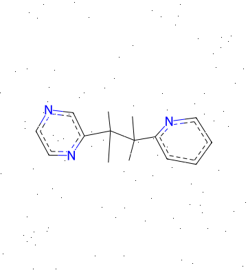 CC(C)(c1ccccn1)C(C)(C)c1cnccn1